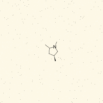 CC1C[C@H](C)CN1C